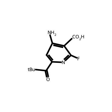 CC(C)(C)C(=O)c1cc(N)c(C(=O)O)c(F)n1